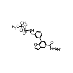 CC(C)(C)OC(=O)NCc1cccc(-c2cc(C(=O)N=[N+]=[N-])cc3ccoc23)c1